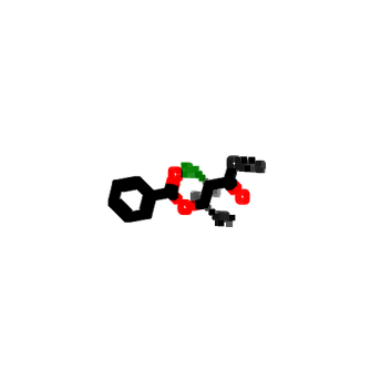 COC(=O)[C@@H](Br)[C@@H](OC(=O)c1ccccc1)C(C)C